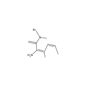 C=C(/C(N)=C(C)\C=C/C)N(C)C(C)=O